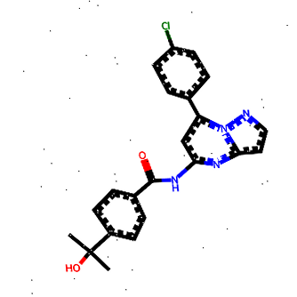 CC(C)(O)c1ccc(C(=O)Nc2cc(-c3ccc(Cl)cc3)n3nccc3n2)cc1